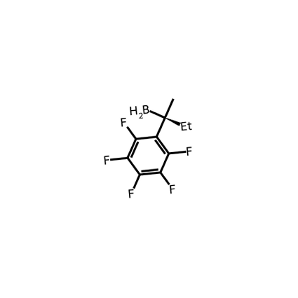 B[C@@](C)(CC)c1c(F)c(F)c(F)c(F)c1F